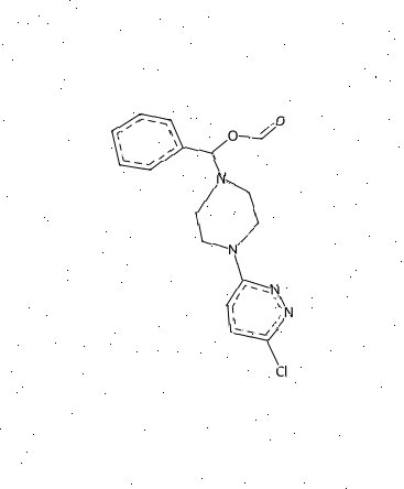 O=COC(c1ccccc1)N1CCN(c2ccc(Cl)nn2)CC1